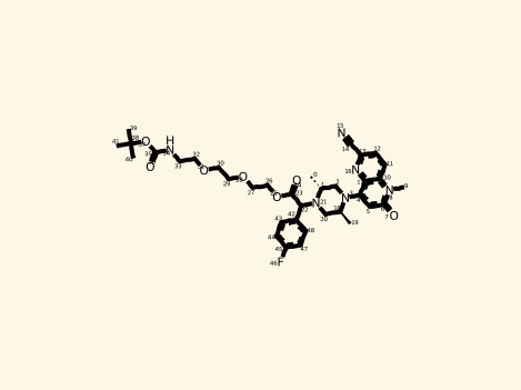 C[C@@H]1CN(c2cc(=O)n(C)c3ccc(C#N)nc23)[C@@H](C)CN1C(C(=O)OCCOCCOCCNC(=O)OC(C)(C)C)c1ccc(F)cc1